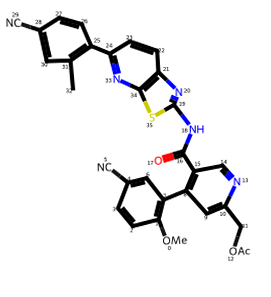 COc1ccc(C#N)cc1-c1cc(COC(C)=O)ncc1C(=O)Nc1nc2ccc(-c3ccc(C#N)cc3C)nc2s1